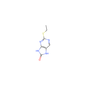 CCSc1ncc2[nH]c(=O)[nH]c2n1